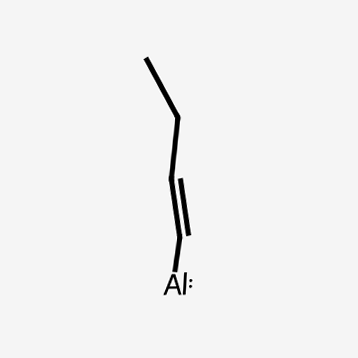 CCC=[CH][Al]